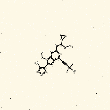 CCn1c(-c2nonc2N)nc2c(C#CC(C)(C)O)nc(OC(CN)C3CC3)cc21